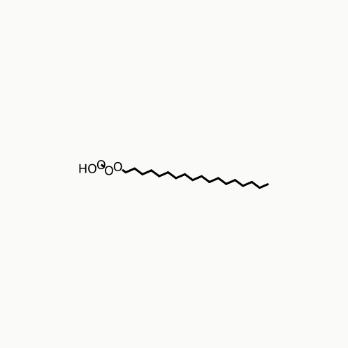 CCCCCCCCCCCCCCCCCCOOOO